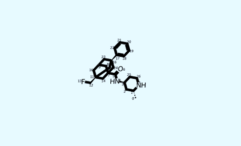 C[C@@H]1C[C@@H](NC(=O)C23CC4C[C@@](CF)(C2)C[C@](c2ccccc2)(C4)C3)CCN1